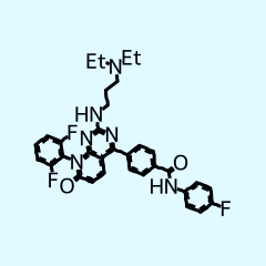 CCN(CC)CCCNc1nc(-c2ccc(C(=O)Nc3ccc(F)cc3)cc2)c2ccc(=O)n(-c3c(F)cccc3F)c2n1